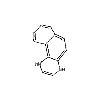 [c]1cccc2ccc3c(c12)NC=CN3